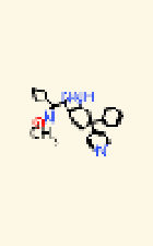 CON=C(c1n[nH]c2c1C=CC(c1ccccc1)(c1ccncc1)C2)C1CCC1